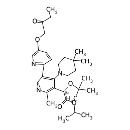 CCC(=O)COc1ccc(-c2cnc(C)c([C@H](OC(C)(C)C)C(=O)OC(C)C)c2N2CCC(C)(C)CC2)nc1